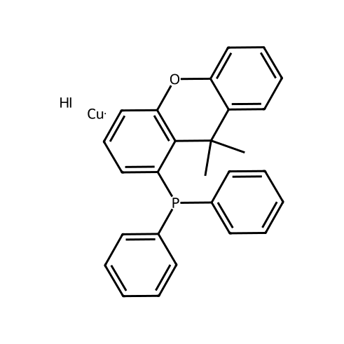 CC1(C)c2ccccc2Oc2cccc(P(c3ccccc3)c3ccccc3)c21.I.[Cu]